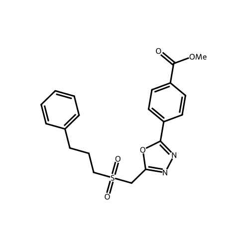 COC(=O)c1ccc(-c2nnc(CS(=O)(=O)CCCc3ccccc3)o2)cc1